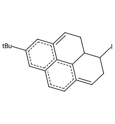 CC(C)(C)c1cc2c3c4c(ccc3c1)=CCC(I)C4CC=2